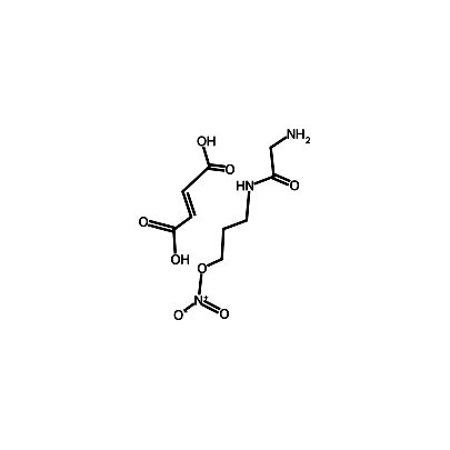 NCC(=O)NCCCO[N+](=O)[O-].O=C(O)C=CC(=O)O